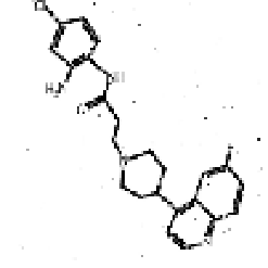 Nc1cc(Cl)ccc1NC(=O)CCN1CCC(c2ccnc3ccc(F)cc23)CC1